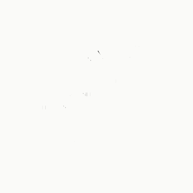 CCCN1C[C@@H](NC(=O)N(C)CCOC)C[C@@H]2CC3(CC[C@H]21)OCCO3